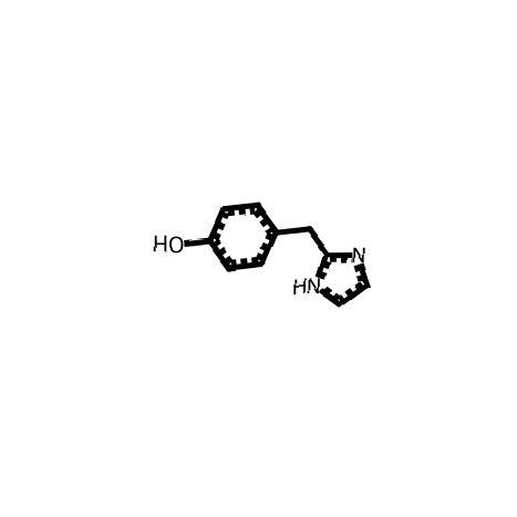 Oc1ccc(Cc2ncc[nH]2)cc1